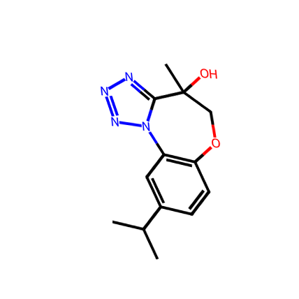 CC(C)c1ccc2c(c1)-n1nnnc1C(C)(O)CO2